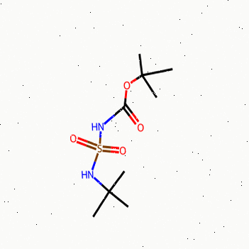 CC(C)(C)NS(=O)(=O)NC(=O)OC(C)(C)C